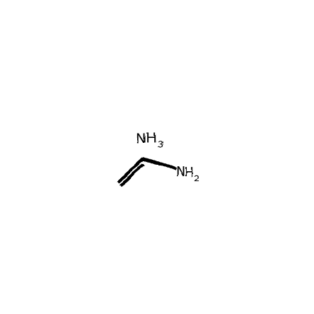 C=CN.N